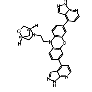 c1cc(-c2ccc3c(c2)Oc2cc(-c4ccnc5[nH]ncc45)ccc2N3CCN2C[C@H]3C[C@@H]2CO3)c2cn[nH]c2n1